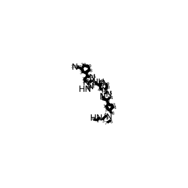 CCNCCN(CC)Cc1ccc(-c2cnc(N3CCOC(CNc4nc(-c5cccc(C#N)c5)cnc4N=N)C3)nc2)cc1